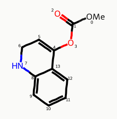 COC(=O)OC1=CCNc2ccccc21